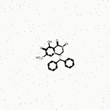 CCN1C[C@H](C(c2ccccc2)c2ccccc2)n2cc(C(=O)O)c(=O)c(O)c2C1=O